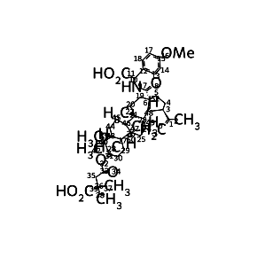 C=C(C)[C@@H]1CC[C@]2(C(=O)NC(C(=O)O)c3ccc(OC)cc3)CC[C@]3(C)[C@H](CC[C@@H]4[C@@]5(C)CC[C@H](OC(=O)CC(C)(C)C(=O)O)C(C)(C)[C@@H]5CC[C@]43C)[C@@H]12